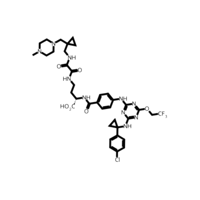 CN1CCN(CC2(CNC(=O)C(=O)NCC[C@H](NC(=O)c3ccc(Nc4nc(NC5(c6ccc(Cl)cc6)CC5)nc(OCC(F)(F)F)n4)cc3)C(=O)O)CC2)CC1